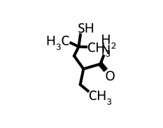 CCC(CC(C)(C)S)C(N)=O